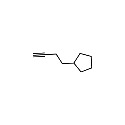 C#CCCC1CCCC1